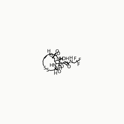 O=C(CC[C@H]1NC(=O)C[C@H]2C=CCCSSC[C@@H](NC1=O)C(=O)NC(C1CC1)C(O)CC(=O)O2)NCC(F)(F)F